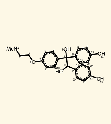 CNCCOc1ccc(C(O)(c2ccc(O)cc2)C(O)c2ccc(O)cc2)cc1